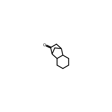 O=C1CC2CC1C1CCCCC21